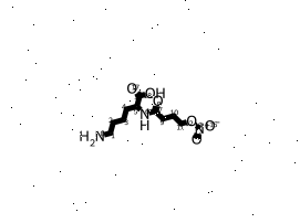 NCCCCC(NC(=O)CCCO[N+](=O)[O-])C(=O)O